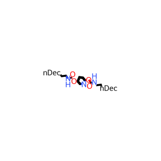 CCCCCCCCCCCCNC(=O)Oc1ccc(OC(=O)NCCCCCCCCCCCC)nc1